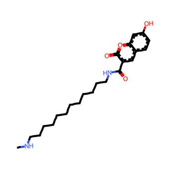 CNCCCCCCCCCCCCNC(=O)c1cc2ccc(O)cc2oc1=O